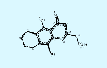 CCCc1c2c(c(O)c3c(=O)cc(OC(=O)O)oc13)CCCC2